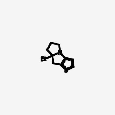 CCC12CCCN1c1ccsc1C2